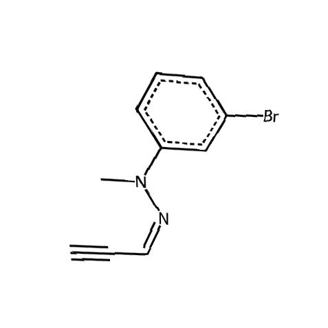 C#C/C=N\N(C)c1cccc(Br)c1